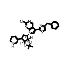 CC1(C)O[C@@H]2[C@H](O1)C(C1=CCCNC1)C[C@H]2n1cc(-c2nc(Cc3ccccc3)cs2)c2cnc(Cl)nc21